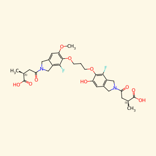 COc1cc2c(c(F)c1OCCCOc1c(O)cc3c(c1F)CN(C(=O)C[C@H](C)C(=O)O)C3)CN(C(=O)C[C@H](C)C(=O)O)C2